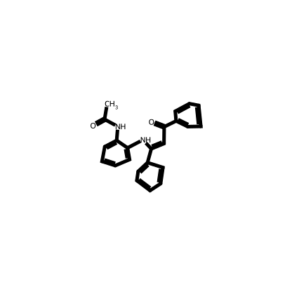 CC(=O)Nc1ccccc1N/C(=C\C(=O)c1ccccc1)c1ccccc1